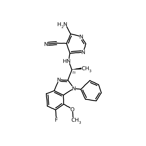 COc1c(F)ccc2nc([C@H](C)Nc3ncnc(N)c3C#N)n(-c3ccccc3)c12